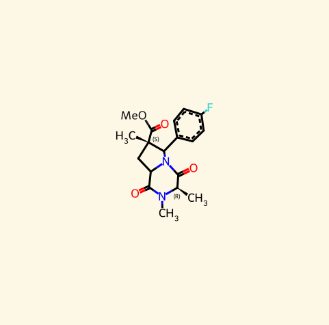 COC(=O)[C@@]1(C)CC2C(=O)N(C)[C@H](C)C(=O)N2C1c1ccc(F)cc1